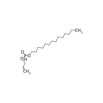 C=CCO[PH](=O)OCCCCCCCCCCCCCC